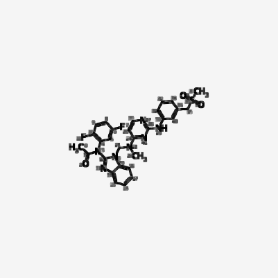 CC(=O)N(c1cc(F)ccc1F)c1nc2ccccc2n1CN(C)c1ccnc(Nc2cccc(CS(C)(=O)=O)c2)n1